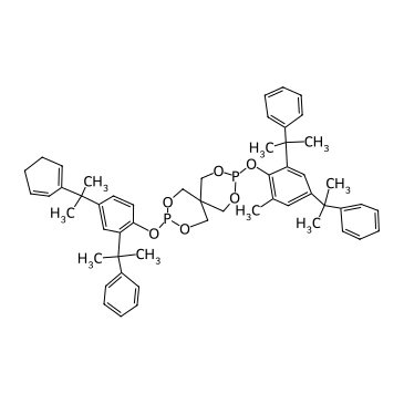 Cc1cc(C(C)(C)c2ccccc2)cc(C(C)(C)c2ccccc2)c1OP1OCC2(COP(Oc3ccc(C(C)(C)C4=CCCC=C4)cc3C(C)(C)c3ccccc3)OC2)CO1